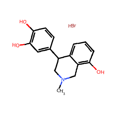 Br.CN1Cc2c(O)cccc2C(c2ccc(O)c(O)c2)C1